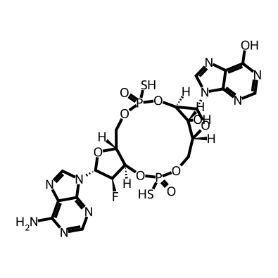 Nc1ncnc2c1ncn2[C@@H]1O[C@@H]2COP(=O)(S)O[C@@H]3[C@H](O)[C@@H](COP(=O)(S)O[C@H]2[C@H]1F)O[C@H]3n1cnc2c(O)ncnc21